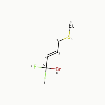 [CH2]CSCC=CC(F)(F)Br